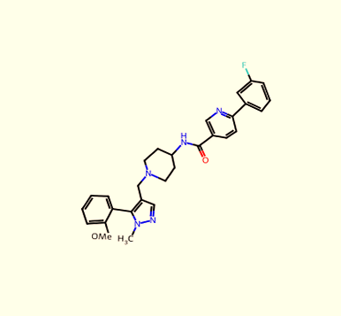 COc1ccccc1-c1c(CN2CCC(NC(=O)c3ccc(-c4cccc(F)c4)nc3)CC2)cnn1C